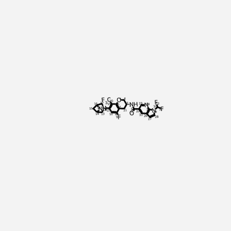 O=C(N[C@H]1COc2c(c(F)cc(N3CC4CC(C3)N4)c2C(F)(F)F)C1)c1cnc2c(ccn2C(F)F)c1